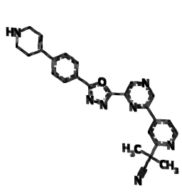 CC(C)(C#N)c1cc(-c2cncc(-c3nnc(-c4ccc(C5=CCNCC5)cc4)o3)n2)ccn1